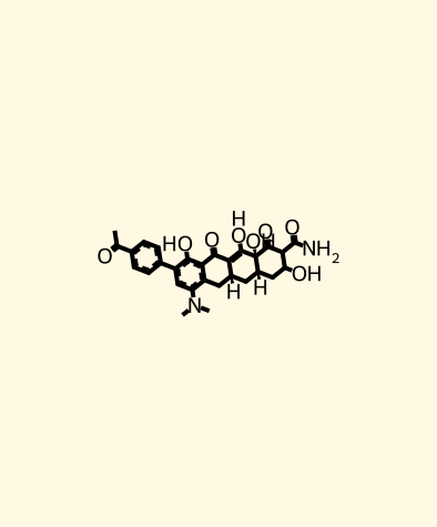 CC(=O)c1ccc(-c2cc(N(C)C)c3c(c2O)C(=O)C2=C(O)[C@]4(O)C(=O)C(C(N)=O)C(O)C[C@@H]4C[C@@H]2C3)cc1